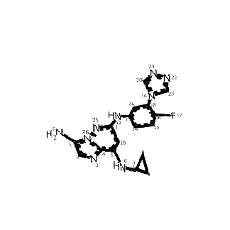 Nc1cnc2c(NC3CC3)cc(Nc3ccc(F)c(-n4cnnc4)c3)nn12